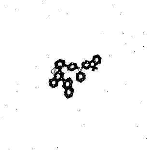 CC1(C)c2ccccc2-c2ccc(N(c3ccccc3)c3ccc(-c4cccc5oc6c7ccccc7c(-c7ccc8ccccc8c7)cc6c45)cc3)cc21